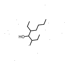 [CH2]C(CC)C(O)C(CC)CCCC